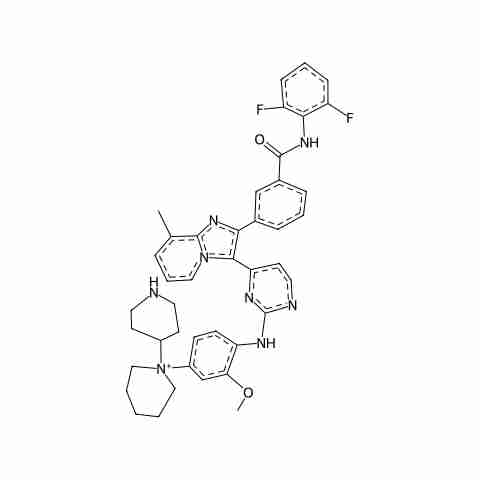 COc1cc([N+]2(C3CCNCC3)CCCCC2)ccc1Nc1nccc(-c2c(-c3cccc(C(=O)Nc4c(F)cccc4F)c3)nc3c(C)cccn23)n1